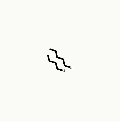 [Li][CH2]CCC.[Li][CH2]CCCC